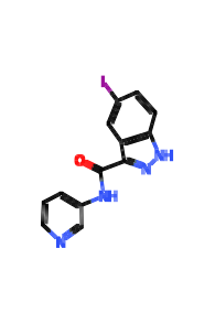 O=C(Nc1cccnc1)c1n[nH]c2ccc(I)cc12